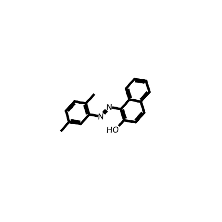 Cc1ccc(C)c(N=Nc2c(O)ccc3ccccc23)c1